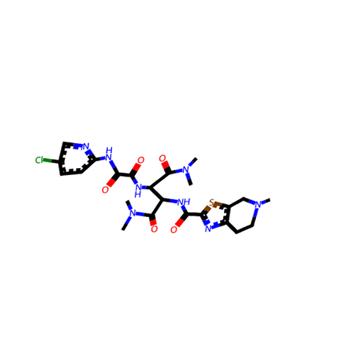 CN1CCc2nc(C(=O)NC(C(=O)N(C)C)C(NC(=O)C(=O)Nc3ccc(Cl)cn3)C(=O)N(C)C)sc2C1